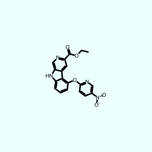 CCOC(=O)c1cc2c(cn1)[nH]c1cccc(Oc3ccc([N+](=O)[O-])cn3)c12